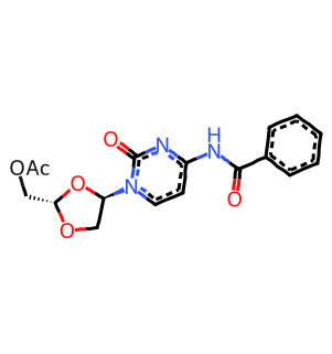 CC(=O)OC[C@H]1OC[C@H](n2ccc(NC(=O)c3ccccc3)nc2=O)O1